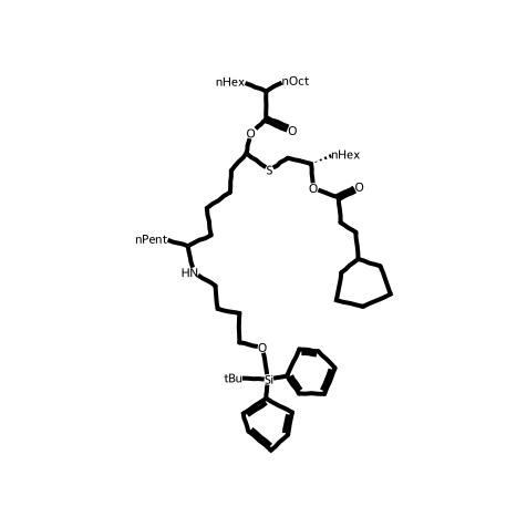 CCCCCCCCC(CCCCCC)C(=O)OC(CCCCC(CCCCC)NCCCCO[Si](c1ccccc1)(c1ccccc1)C(C)(C)C)SC[C@H](CCCCCC)OC(=O)CCC1CCCCC1